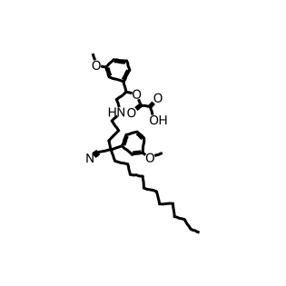 CCCCCCCCCCCCC(C#N)(CCCNCC(OC(=O)C(=O)O)c1cccc(OC)c1)c1cccc(OC)c1